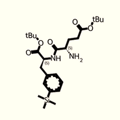 CC(C)(C)OC(=O)CC[C@H](N)C(=O)N[C@@H](Cc1cccc([Si](C)(C)C)c1)C(=O)OC(C)(C)C